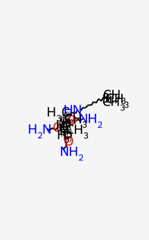 C[C@H](CCCNCCCCCCCCCC[Si](C)(C)C)[C@H]1CC[C@H]2[C@@H]3[C@H](OCCCN)C[C@@H]4C[C@H](OCCCN)CC[C@]4(C)[C@H]3C[C@H](OCCCN)[C@]12C